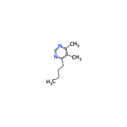 CCCCc1ncnc(C)c1C